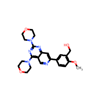 COc1ccc(-c2cc3nc(N4CCOCC4)nc(N4CCOCC4)c3cn2)cc1CO